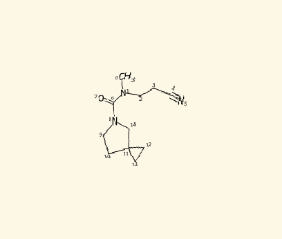 CN(CCC#N)C(=O)N1CCC2(CC2)C1